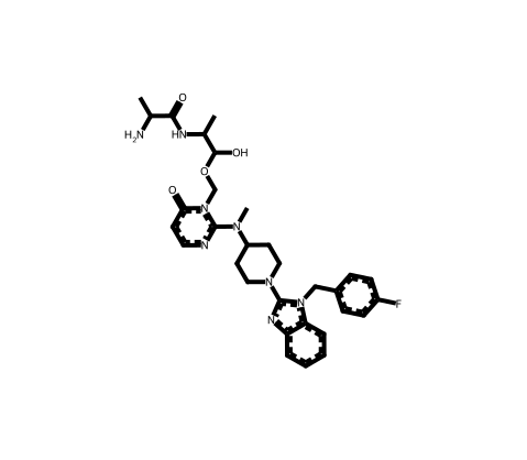 CC(N)C(=O)NC(C)C(O)OCn1c(N(C)C2CCN(c3nc4ccccc4n3Cc3ccc(F)cc3)CC2)nccc1=O